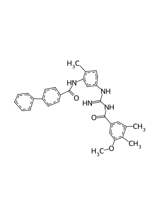 COc1cc(C(=O)NC(=N)Nc2ccc(C)c(NC(=O)c3ccc(-c4ccccc4)cc3)c2)cc(C)c1C